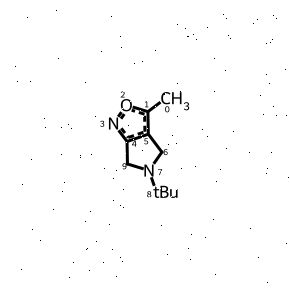 Cc1onc2c1CN(C(C)(C)C)C2